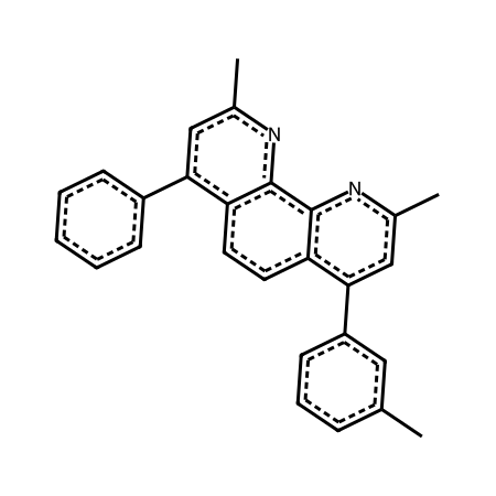 Cc1cccc(-c2cc(C)nc3c2ccc2c(-c4ccccc4)cc(C)nc23)c1